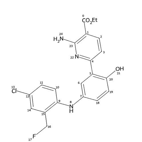 CCOC(=O)c1ccc(-c2cc(Nc3ccc(Cl)cc3CF)ccc2O)nc1N